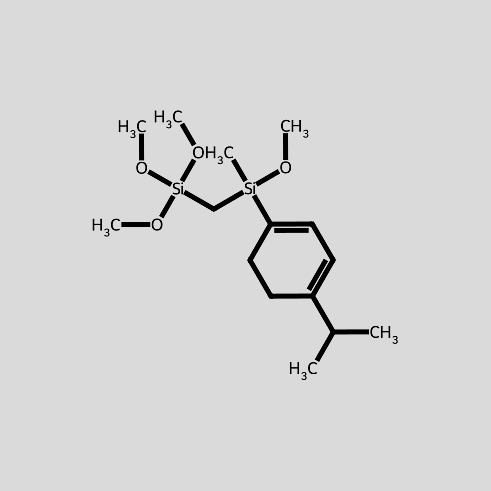 CO[Si](C[Si](C)(OC)C1=CC=C(C(C)C)CC1)(OC)OC